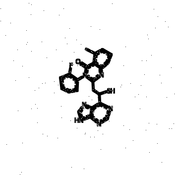 Cc1cccc2nc(CC(S)c3ncnc4[nH]cnc34)n(-c3ccccc3F)c(=O)c12